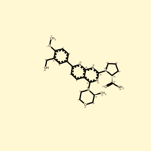 COc1ccc(-c2ccc3c(N4CCOC[C@@H]4C)nc(N4CCC[C@@H]4C(N)=O)nc3n2)cc1CO